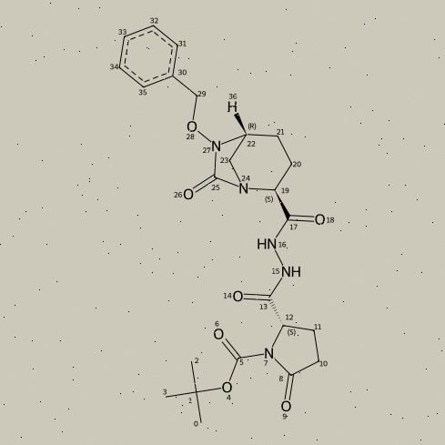 CC(C)(C)OC(=O)N1C(=O)CC[C@H]1C(=O)NNC(=O)[C@@H]1CC[C@@H]2CN1C(=O)N2OCc1ccccc1